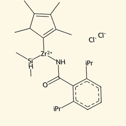 CC1=C(C)C(C)[C]([Zr+2]([NH]C(=O)c2c(C(C)C)cccc2C(C)C)[SiH](C)C)=C1C.[Cl-].[Cl-]